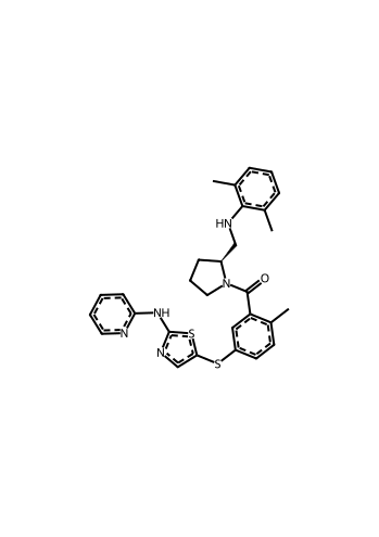 Cc1ccc(Sc2cnc(Nc3ccccn3)s2)cc1C(=O)N1CCC[C@H]1CNc1c(C)cccc1C